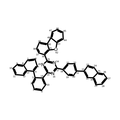 c1ccc(-c2cccc3ccccc23)c(-c2nc(-c3ccc(-c4ccc5ccccc5c4)cc3)nc(-c3cccc4c3oc3ccccc34)n2)c1